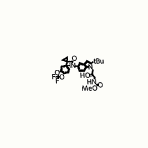 COC(=O)NC[C@H](O)Cn1c(C(C)(C)C)cc2cc(NC(=O)C3(c4ccc5c(c4)OC(F)(F)O5)CC3)ccc21